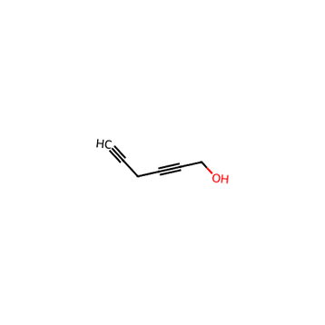 C#CCC#CCO